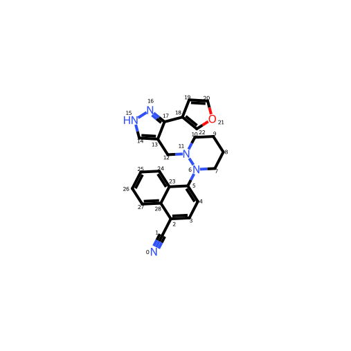 N#Cc1ccc(N2CCCCN2Cc2c[nH]nc2-c2ccoc2)c2ccccc12